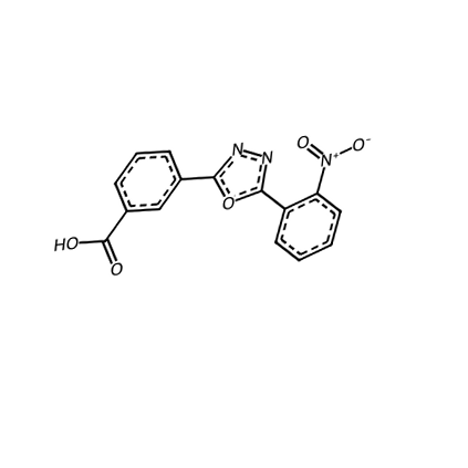 O=C(O)c1cccc(-c2nnc(-c3ccccc3[N+](=O)[O-])o2)c1